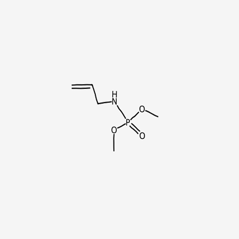 C=CCNP(=O)(OC)OC